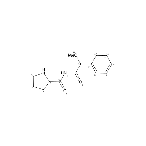 COC(C(=O)NC(=O)C1CCCN1)c1ccccc1